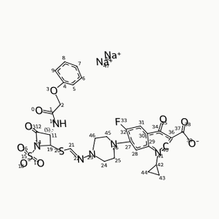 O=C(COc1ccccc1)N[C@H]1C(=O)N(S(=O)(=O)[O-])C1SC=NN1CCN(c2cc3c(cc2F)c(=O)c(C(=O)[O-])cn3C2CC2)CC1.[Na+].[Na+]